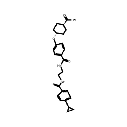 O=C(NCCNC(=O)c1ccc(C2CC2)cc1)c1ccc(O[C@H]2CC[C@H](C(=O)O)CC2)cc1